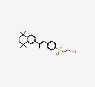 CC(=Cc1ccc(S(=O)(=O)CCO)cc1)c1ccc2c(c1)C(C)(C)CCC2(C)C